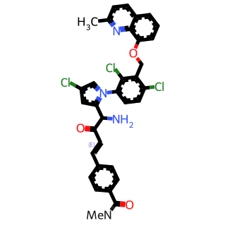 CNC(=O)c1ccc(/C=C/C(=O)C(N)c2cc(Cl)cn2-c2ccc(Cl)c(COc3cccc4ccc(C)nc34)c2Cl)cc1